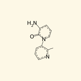 Cc1ncccc1-n1cccc(N)c1=O